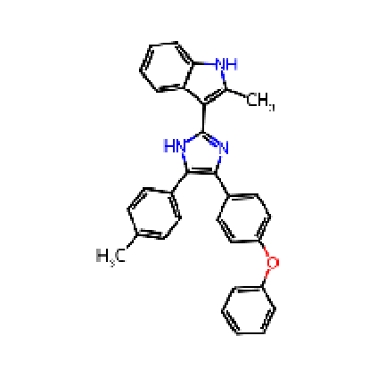 Cc1ccc(-c2[nH]c(-c3c(C)[nH]c4ccccc34)nc2-c2ccc(Oc3ccccc3)cc2)cc1